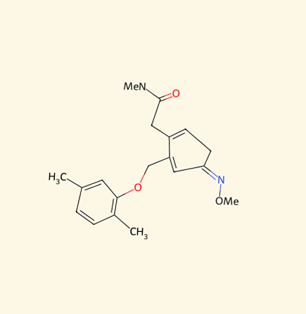 CNC(=O)CC1=CCC(=NOC)C=C1COc1cc(C)ccc1C